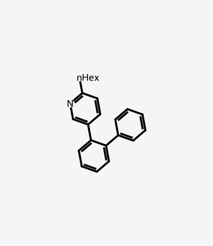 CCCCCCc1ccc(-c2ccccc2-c2ccccc2)cn1